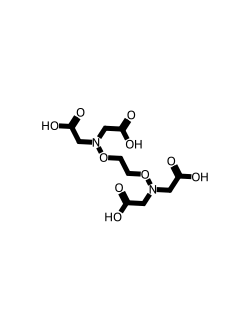 O=C(O)CN(CC(=O)O)OCCON(CC(=O)O)CC(=O)O